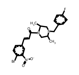 CC1CN(C(=O)C=Cc2ccc(Br)c([N+](=O)[O-])c2)C(C)CN1Cc1ccc(F)cc1